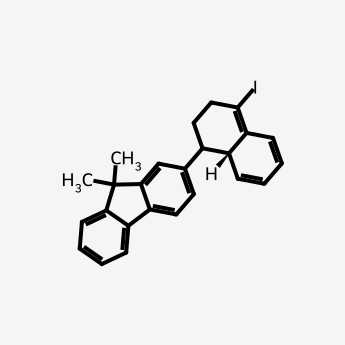 CC1(C)c2ccccc2-c2ccc(C3CCC(I)=C4C=CC=C[C@@H]43)cc21